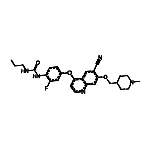 CCCNC(=O)Nc1ccc(Oc2ccnc3cc(OCC4CCN(C)CC4)c(C#N)cc23)cc1F